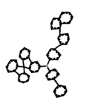 c1ccc(-c2ccc(N(c3ccc(-c4cccc(-c5cccc6ccccc56)c4)cc3)c3ccc4c(c3)-c3ccccc3C43c4ccccc4-c4ccccc43)cc2)cc1